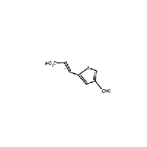 O=Cc1csc(/C=C/C(=O)O)c1